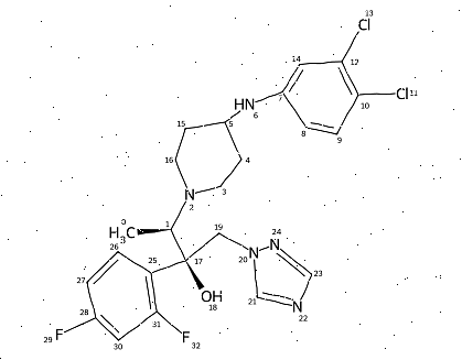 C[C@@H](N1CCC(Nc2ccc(Cl)c(Cl)c2)CC1)[C@](O)(Cn1cncn1)c1ccc(F)cc1F